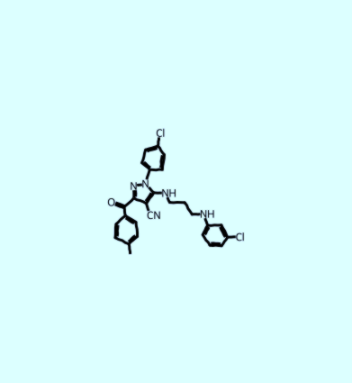 Cc1ccc(C(=O)c2nn(-c3ccc(Cl)cc3)c(NCCCNc3cccc(Cl)c3)c2C#N)cc1